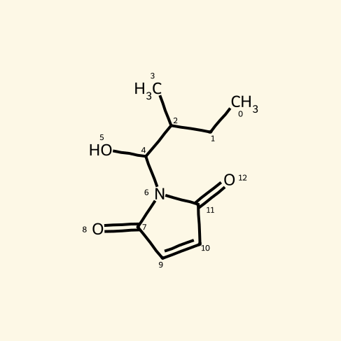 CCC(C)C(O)N1C(=O)C=CC1=O